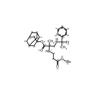 CCC(C)(BCC(C)(BCCC(=O)OC(C)(C)C)C(=O)OC12CC3CC(CC(C3)C1)C2)c1ccccn1